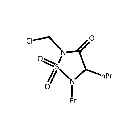 CCCC1C(=O)N(CCl)S(=O)(=O)N1CC